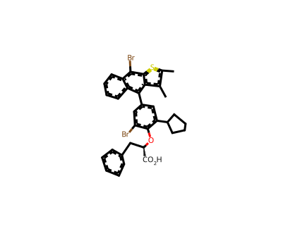 Cc1sc2c(Br)c3ccccc3c(-c3cc(Br)c(O[C@H](Cc4ccccc4)C(=O)O)c(C4CCCC4)c3)c2c1C